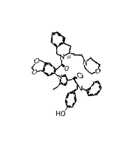 Cc1cc(C(=O)N(c2ccccc2)c2ccc(O)cc2)cn1-c1cc2c(cc1C(=O)N1Cc3ccccc3C[C@H]1CCN1CCOCC1)OCO2